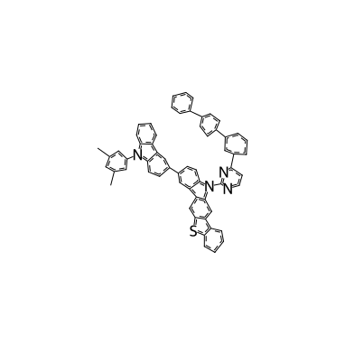 Cc1cc(C)cc(-n2c3ccccc3c3cc(-c4ccc5c(c4)c4cc6sc7ccccc7c6cc4n5-c4nccc(-c5cccc(-c6ccc(-c7ccccc7)cc6)c5)n4)ccc32)c1